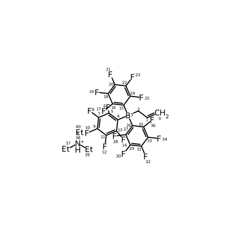 C=CC[B-](c1c(F)c(F)c(F)c(F)c1F)(c1c(F)c(F)c(F)c(F)c1F)c1c(F)c(F)c(F)c(F)c1F.CC[NH+](CC)CC